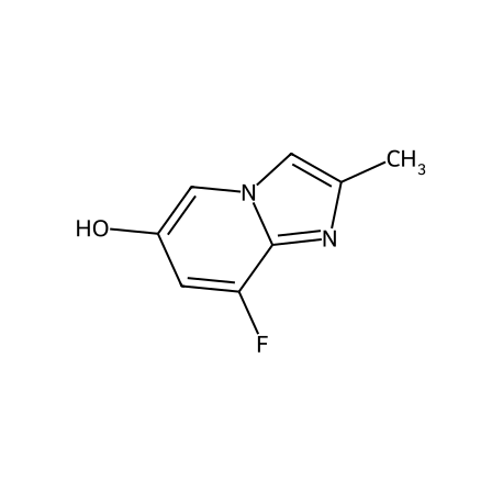 Cc1cn2cc(O)cc(F)c2n1